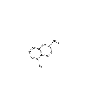 O=[N+]([O-])c1ccc2c(Br)cccc2c1